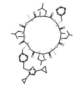 CC(C)C[C@H]1C(=O)O[C@H](Cc2ccc(Cn3nc(C4CC4)cc3C3CC3)cc2)C(=O)N(C)[C@@H](CC(C)C)C(=O)O[C@H](C)C(=O)N(C)[C@@H](CC(C)C)C(=O)O[C@H](Cc2ccccc2)C(=O)N(C)[C@@H](CC(C)C)C(=O)O[C@H](C)C(=O)N1C